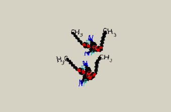 CCCCCCCCCCC12CCC(Cc3c(Oc4ccc(C#N)c(F)c4CC45CCC(CCCCCCCCCC)(CC4)CC5)ccc(C#N)c3F)(CC1)CC2.CCCCCCCCCCCC12CCC(Cc3c(Oc4ccc(C#N)c(F)c4CC45CCC(CCCCCCCCCCC)(CC4)CC5)ccc(C#N)c3F)(CC1)CC2